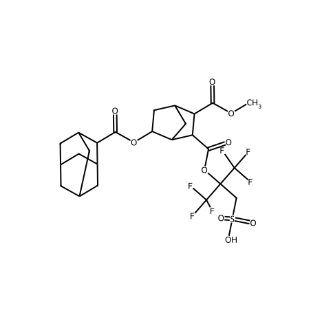 COC(=O)C1C2CC(OC(=O)C3C4CC5CC(C4)CC3C5)C(C2)C1C(=O)OC(CS(=O)(=O)O)(C(F)(F)F)C(F)(F)F